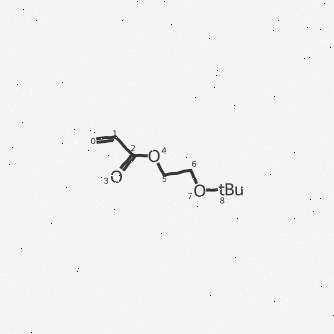 C=CC(=O)OCCOC(C)(C)C